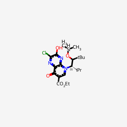 CCOC(=O)c1cn([C@@H](C(C)C)C(O[SiH](C)C)C(C)(C)C)c2nc(O)c(Cl)nc2c1=O